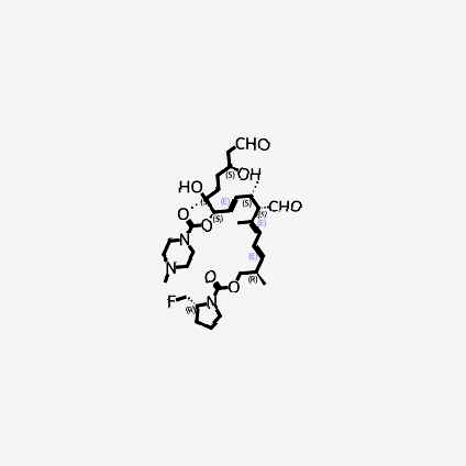 C/C(=C\C=C\[C@@H](C)COC(=O)N1CCC[C@@H]1CF)[C@@H](C=O)[C@@H](C)/C=C/[C@H](OC(=O)N1CCN(C)CC1)[C@@](C)(O)CC[C@H](O)CC=O